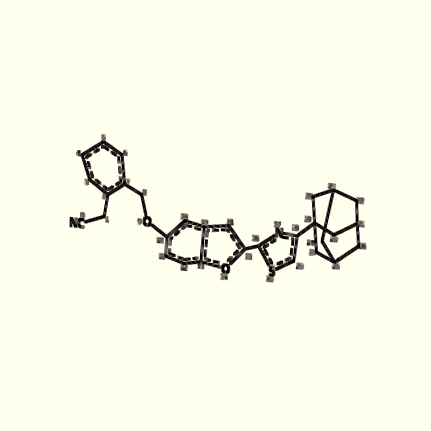 N#CCc1ccccc1COc1ccc2oc(-c3nc(C45CC6CC(CC(C6)C4)C5)cs3)cc2c1